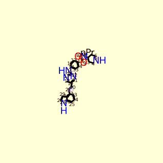 CCCN(C1CCNCC1)S(=O)(=O)c1ccc(Nc2ncc(/C=C/c3cccc4[nH]ccc34)cn2)cc1